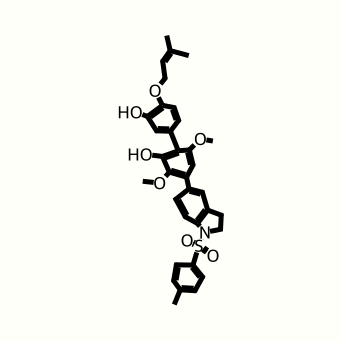 COc1cc(-c2ccc3c(c2)CCN3S(=O)(=O)c2ccc(C)cc2)c(OC)c(O)c1-c1ccc(OCC=C(C)C)c(O)c1